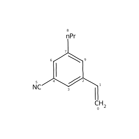 C=Cc1cc(C#N)cc(CCC)c1